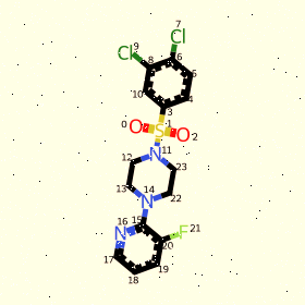 O=S(=O)(c1ccc(Cl)c(Cl)c1)N1CCN(c2ncccc2F)CC1